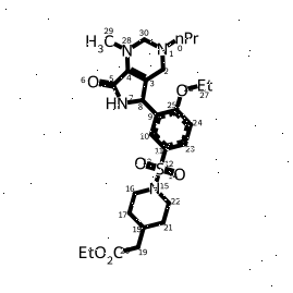 CCCN1CC2=C(C(=O)NC2c2cc(S(=O)(=O)N3CCC(CC(=O)OCC)CC3)ccc2OCC)N(C)C1